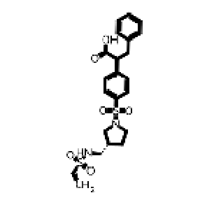 C=CS(=O)(=O)NC[C@H]1CCN(S(=O)(=O)c2ccc(C(Cc3ccccc3)C(=O)O)cc2)C1